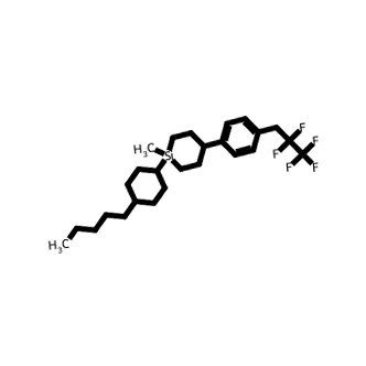 CCCCCC1CCC([Si]2(C)CCC(c3ccc(CC(F)(F)C(F)(F)F)cc3)CC2)CC1